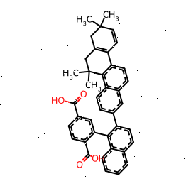 CC1(C)C=CC2=C(C1)CC(C)(C)c1c2ccc2cc(-c3ccc4ccccc4c3-c3cc(C(=O)O)ccc3C(=O)O)ccc12